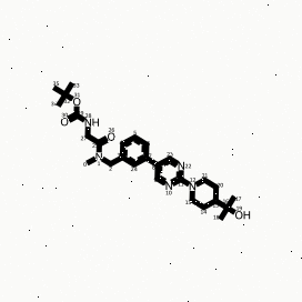 CN(Cc1cccc(-c2cnc(N3CCC(C(C)(C)O)CC3)nc2)c1)C(=O)CNC(=O)OC(C)(C)C